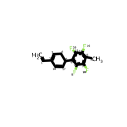 C=CC1=CCC(c2c(F)c(F)c(C)c(F)c2F)C=C1